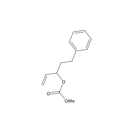 C=CC(CCc1ccccc1)OC(=O)OC